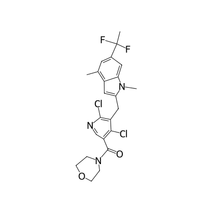 Cc1cc(C(C)(F)F)cc2c1cc(Cc1c(Cl)ncc(C(=O)N3CCOCC3)c1Cl)n2C